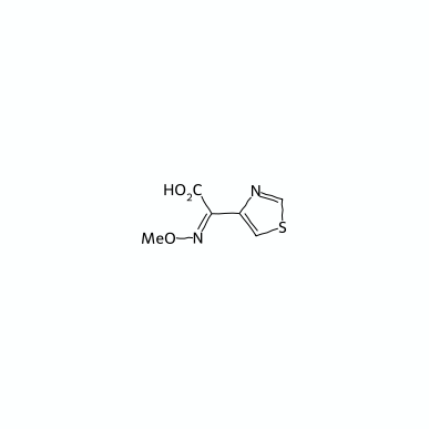 CON=C(C(=O)O)c1cscn1